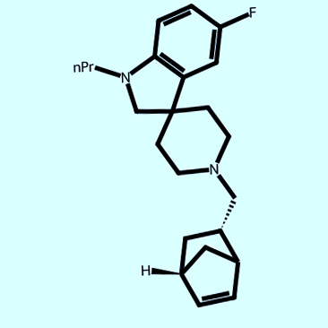 CCCN1CC2(CCN(C[C@H]3C[C@H]4C=CC3C4)CC2)c2cc(F)ccc21